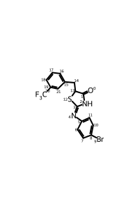 O=C1N/C(=N\c2ccc(Br)cc2)SC1Cc1cccc(C(F)(F)F)c1